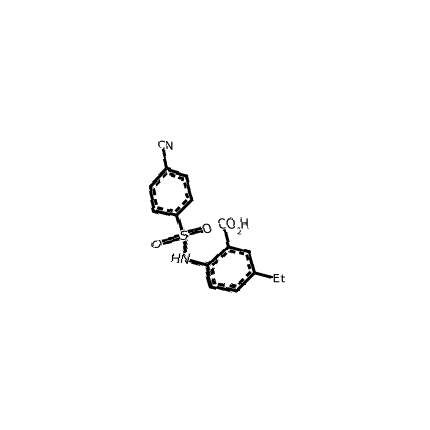 CCc1ccc(NS(=O)(=O)c2ccc(C#N)cc2)c(C(=O)O)c1